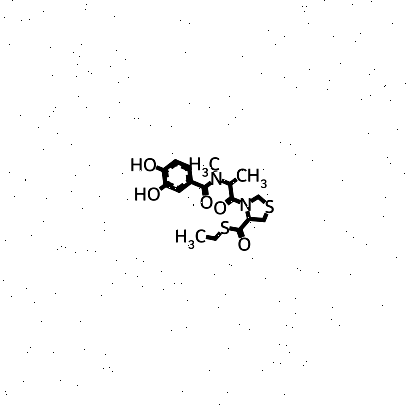 CCSC(=O)C1CSCN1C(=O)C(C)N(C)C(=O)c1ccc(O)c(O)c1